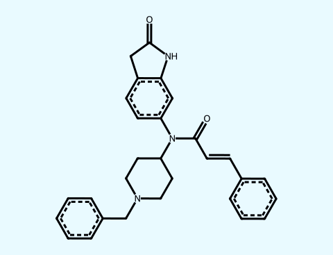 O=C1Cc2ccc(N(C(=O)C=Cc3ccccc3)C3CCN(Cc4ccccc4)CC3)cc2N1